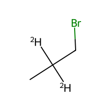 [2H]C([2H])(C)CBr